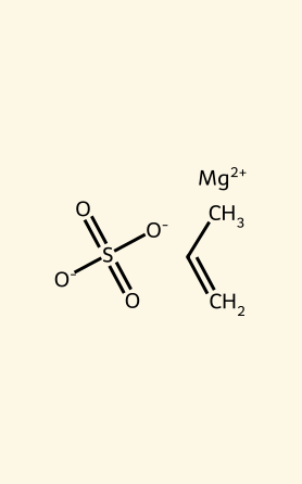 C=CC.O=S(=O)([O-])[O-].[Mg+2]